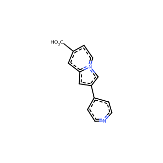 O=C(O)c1ccn2cc(-c3ccncc3)cc2c1